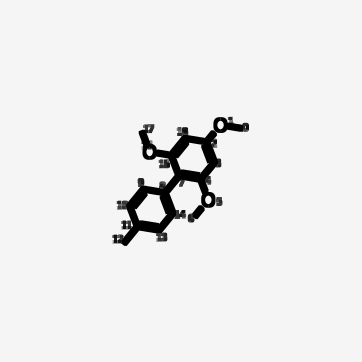 COc1cc(OC)c(-c2ccc(C)cc2)c(OC)c1